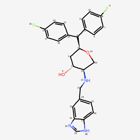 O[C@@H]1C[C@@H](C(c2ccc(F)cc2)c2ccc(F)cc2)OC[C@H]1NCc1ccc2[nH]cnc2c1